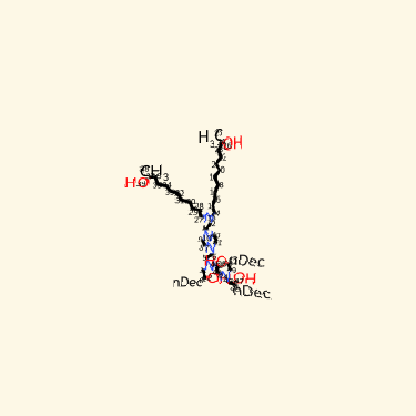 CCCCCCCCCCC(O)CN(CCN1CCN(CCN(CCCCCCCCCCC(C)O)CCCCCCCCCCC(C)O)CC1)CCN(CC(O)CCCCCCCCCC)CC(O)CCCCCCCCCC